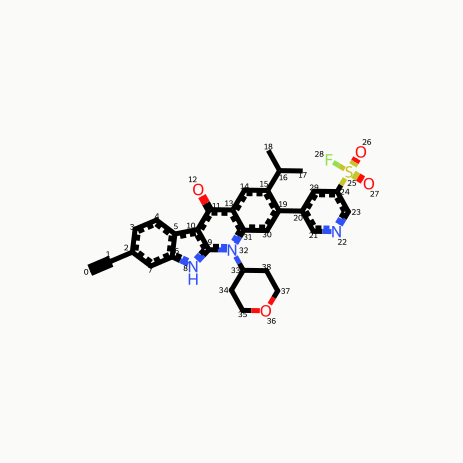 C#Cc1ccc2c(c1)[nH]c1c2c(=O)c2cc(C(C)C)c(-c3cncc(S(=O)(=O)F)c3)cc2n1C1CCOCC1